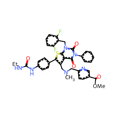 CCNC(=O)Nc1ccc(-c2sc3c(c2CN(C)Cc2ccc(C(=O)OC)cn2)c(=O)n(-c2ccccc2)c(=O)n3Cc2c(F)cccc2F)cc1